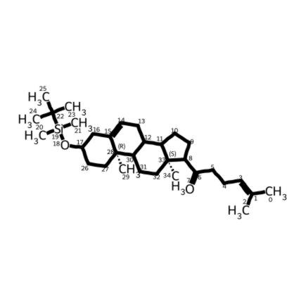 CC(C)=CCCC(=O)C1CCC2C3CC=C4CC(O[Si](C)(C)C(C)(C)C)CC[C@]4(C)C3CC[C@]12C